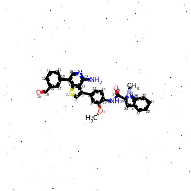 COc1cc(-c2csc3c(-c4cccc(C=O)c4)cnc(N)c23)ccc1NC(=O)c1cc2ccccc2n1C